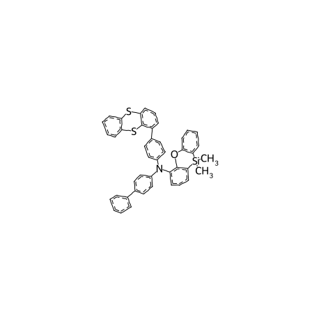 C[Si]1(C)c2ccccc2Oc2c(N(c3ccc(-c4ccccc4)cc3)c3ccc(-c4cccc5c4Sc4ccccc4S5)cc3)cccc21